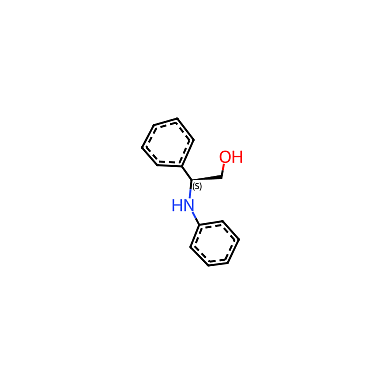 OC[C@@H](Nc1ccccc1)c1ccccc1